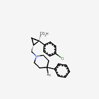 CC(=O)C1(c2ccccc2)CCN(C[C@@H]2C[C@@]2(C(=O)O)c2ccc(Cl)cc2)CC1